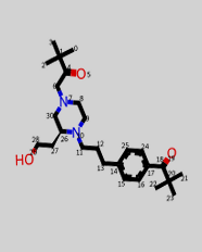 CC(C)(C)C(=O)CN1CCN(CCCc2ccc(C(=O)C(C)(C)C)cc2)[C@@H](CCO)C1